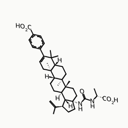 C=C(C)[C@@H]1CC[C@]2(NC(=O)N[C@H](C)C(=O)O)CC[C@]3(C)[C@H](CC[C@@H]4[C@@]5(C)CC=C(c6ccc(C(=O)O)cc6)C(C)(C)[C@@H]5CC[C@]43C)[C@@H]12